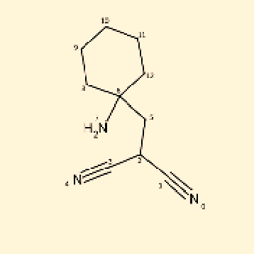 N#CC(C#N)CC1(N)CCCCC1